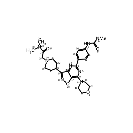 CNC(=O)Nc1ccc(-c2nc(N3CCOCC3)c3onc(C4CCN(CC(=O)N(C)C)CC4)c3n2)cc1